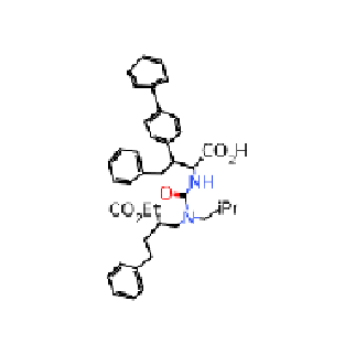 CCOC(=O)[C@@H](CCc1ccccc1)CN(CC(C)C)C(=O)N[C@H](C(=O)O)C(Cc1ccccc1)c1ccc(-c2ccccc2)cc1